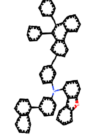 c1ccc(-c2c(-c3ccccc3)c3cc(-c4cccc(N(c5cccc(-c6cccc7ccccc67)c5)c5cccc6oc7ccccc7c56)c4)ccc3c3ccccc23)cc1